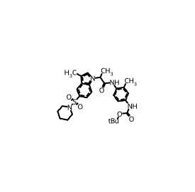 Cc1cc(NC(=O)OC(C)(C)C)ccc1NC(=O)C(C)n1cc(C)c2cc(S(=O)(=O)N3CCCCC3)ccc21